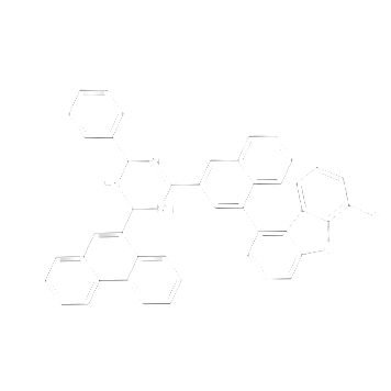 Clc1cccc2c1oc1cccc(-c3cc(C4=NC(c5ccccc5)NC(c5cc6ccccc6c6ccccc56)N4)cc4ccccc34)c12